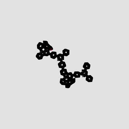 c1ccc(-c2cc(-c3ccccc3)nc(-c3ccc(-c4cc5c6c(c4)c4cc(-c7ccc(-c8nc(-c9ccccc9)cc(-c9ccc(-c%10cc%11c%12c(c%10)c%10ccccc%10n%12-c%10ccccc%10C%11%10c%11ccccc%11-c%11ccccc%11%10)cc9)n8)cc7)ccc4n6-c4ccccc4C54c5ccccc5-c5ccccc54)cc3)n2)cc1